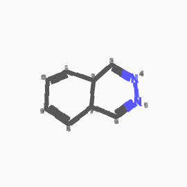 C1=CC2C=NN=CC2C=C1